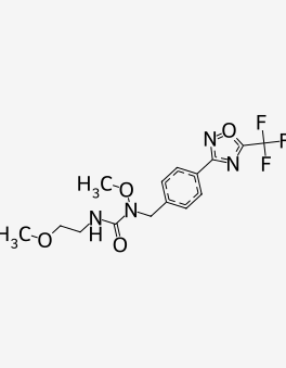 COCCNC(=O)N(Cc1ccc(-c2noc(C(F)(F)F)n2)cc1)OC